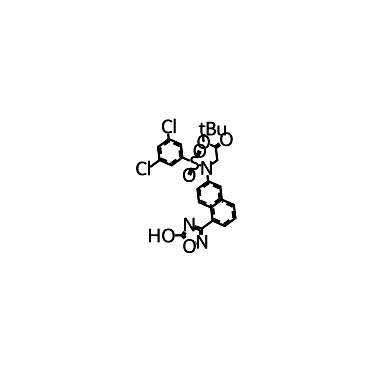 CC(C)(C)OC(=O)CN(c1ccc2c(-c3noc(O)n3)cccc2c1)S(=O)(=O)c1cc(Cl)cc(Cl)c1